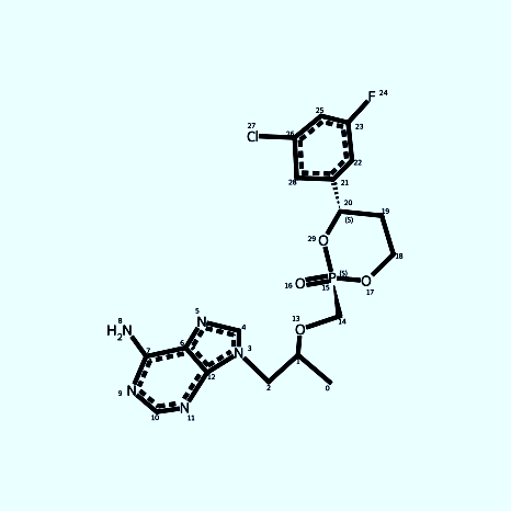 CC(Cn1cnc2c(N)ncnc21)OC[P@]1(=O)OCC[C@@H](c2cc(F)cc(Cl)c2)O1